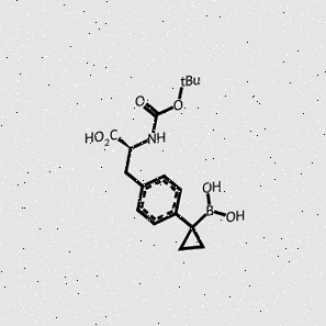 CC(C)(C)OC(=O)N[C@@H](Cc1ccc(C2(B(O)O)CC2)cc1)C(=O)O